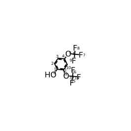 Oc1ccc(OC(F)(F)F)cc1OC(F)(F)F